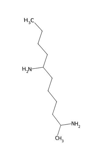 CCCCC(N)CCCCC(C)N